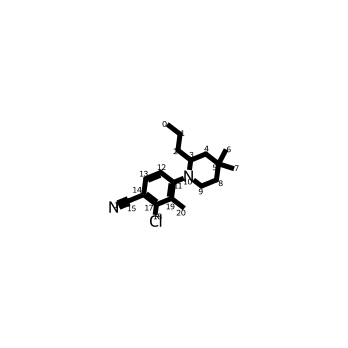 CCCC1CC(C)(C)CCN1c1ccc(C#N)c(Cl)c1C